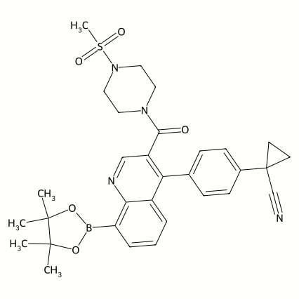 CC1(C)OB(c2cccc3c(-c4ccc(C5(C#N)CC5)cc4)c(C(=O)N4CCN(S(C)(=O)=O)CC4)cnc23)OC1(C)C